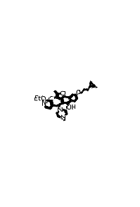 CCOC(=O)c1c(C)oc2c1c(C(c1ccncc1)N1CCN(C)CC1)c(O)c1ccc(OCCCC3CC3)cc12